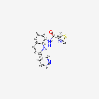 O=C(Nc1cccc2ccc(-c3cccnc3)nc12)c1cscn1